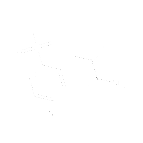 C=C(Cc1ccccc1S(=O)(=O)[O-])C(N)=O.[Na+]